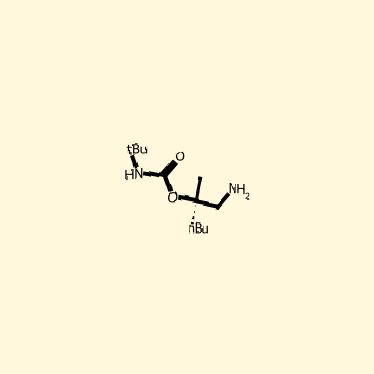 CCCC[C@](C)(CN)OC(=O)NC(C)(C)C